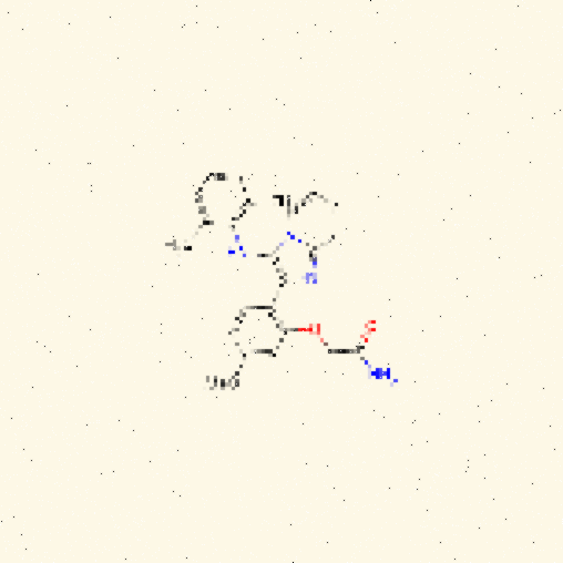 COc1ccc(-c2nc3ccccn3c2Nc2c(C)cccc2C)c(OCC(N)=O)c1